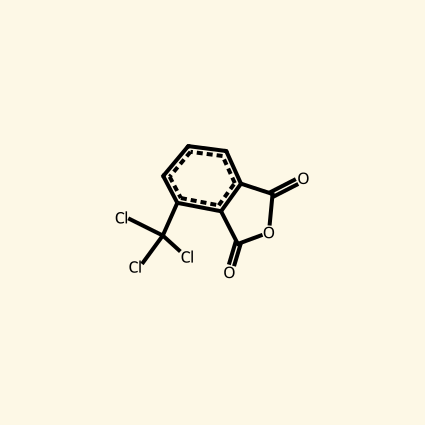 O=C1OC(=O)c2c1cccc2C(Cl)(Cl)Cl